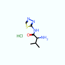 CC(C)C(N)C(=O)Nc1nncs1.Cl